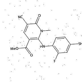 COC(=O)c1cc(C#N)c(=O)n(C)c1Nc1ccc(S)cc1F